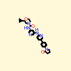 O=C(Nc1cncc(Nc2ccc(-c3ccc(N4CCCC4=O)cc3)cn2)c1)N1CCOC(C2CC2)C1